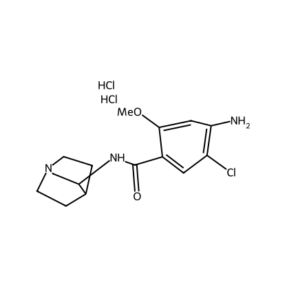 COc1cc(N)c(Cl)cc1C(=O)NC1CN2CCC1CC2.Cl.Cl